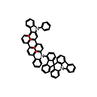 c1ccc(-c2ccc(-c3ccccc3N(c3ccc(-c4ccc5c6ccccc6n(-c6ccccc6)c5c4)cc3)c3cccc4c3-c3ccccc3C43c4ccccc4-n4c5ccccc5c5cccc3c54)cc2)cc1